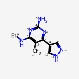 CCNc1nc(N)nc(-c2cn[nH]c2)c1C(F)(F)F